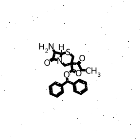 CCC(=O)C1(C(=O)OC(c2ccccc2)c2ccccc2)CS[C@@H]2C(N)C(=O)N2C1